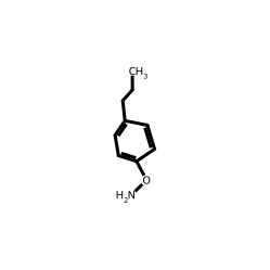 CCCc1ccc(ON)cc1